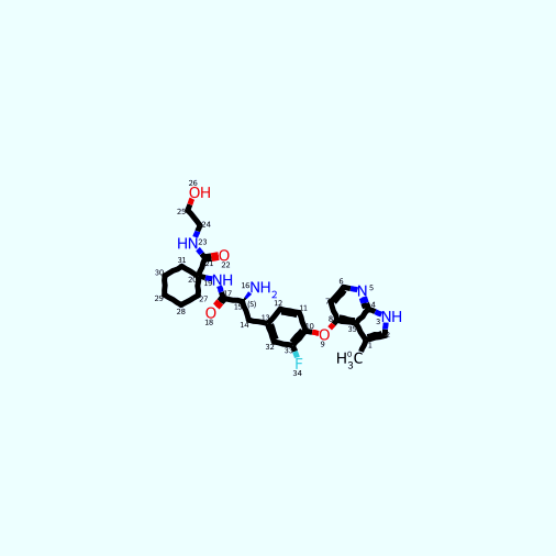 Cc1c[nH]c2nccc(Oc3ccc(C[C@H](N)C(=O)NC4(C(=O)NCCO)CCCCC4)cc3F)c12